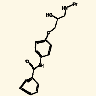 CC(C)NCC(O)COc1ccc(NC(=O)c2ccccc2)cc1